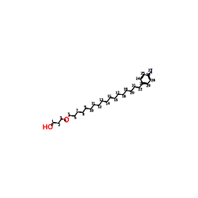 OCCCOCCCCCCCCCCCCCCCCCCc1ccc(I)cc1